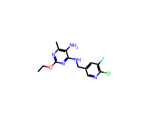 CCOc1nc(C)c(N)c(NCc2cnc(Cl)c(F)c2)n1